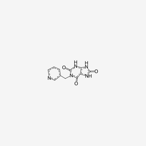 O=c1[nH]c2[nH]c(=O)n(Cc3cccnc3)c(=O)c2[nH]1